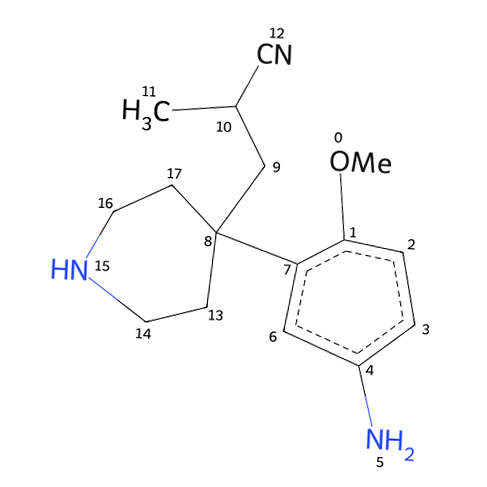 COc1ccc(N)cc1C1(CC(C)C#N)CCNCC1